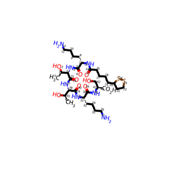 C[C@@H](O)[C@H](NC(=O)[C@H](CCCCN)NC(=O)CCCCC1CCSS1)C(=O)N[C@H](C(=O)N[C@@H](CCCCN)C(=O)N[C@@H](CO)C(=O)O)[C@@H](C)O